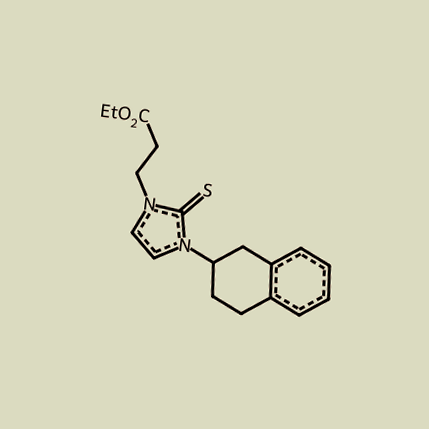 CCOC(=O)CCn1ccn(C2CCc3ccccc3C2)c1=S